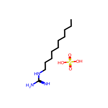 CCCCCCCCCCNC(=N)N.O=S(=O)(O)O